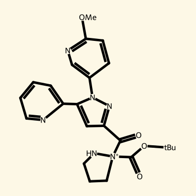 COc1ccc(-n2nc(C(=O)[N+]3(C(=O)OC(C)(C)C)CCCN3)cc2-c2ccccn2)cn1